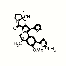 COc1cc2c(cc1-c1ccn(C)n1)-c1c(-c3cccs3)cc(C(=O)N3CCC[C@]3(C)C#N)n1C[C@H]2C